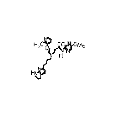 COc1cnc(NC(CCN(CCCCc2ccc3c(n2)NCCC3)CCOc2cccnc2C)C(=O)O)cn1